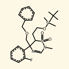 CN1C=NC(COCc2ccccc2)(c2ccccc2F)C(CCO[Si](C)(C)C(C)(C)C)S1(=O)=O